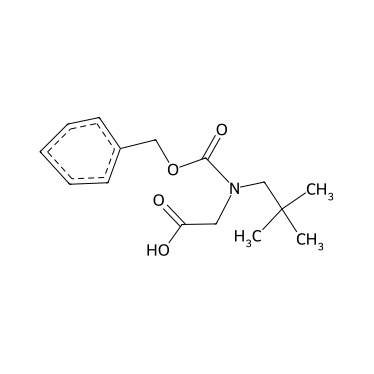 CC(C)(C)CN(CC(=O)O)C(=O)OCc1ccccc1